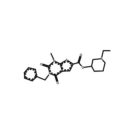 CCN1CCCC(OC(=O)c2cc3c(=O)n(Cc4ccccc4)c(=O)n(C)c3s2)C1